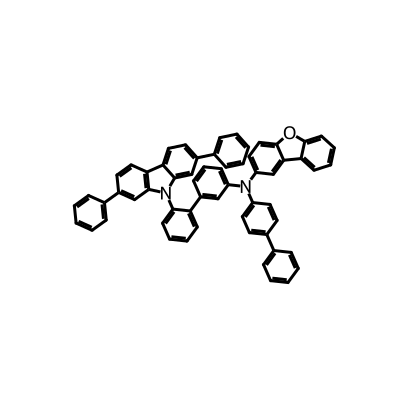 c1ccc(-c2ccc(N(c3cccc(-c4ccccc4-n4c5cc(-c6ccccc6)ccc5c5ccc(-c6ccccc6)cc54)c3)c3ccc4oc5ccccc5c4c3)cc2)cc1